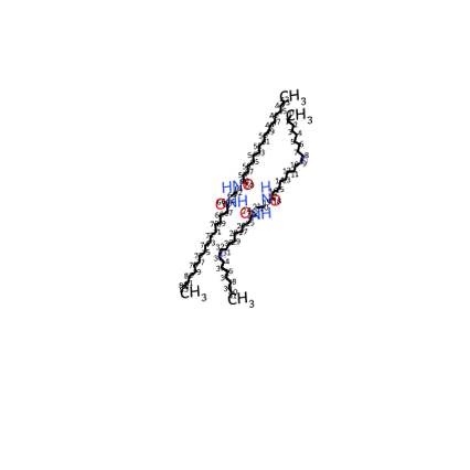 CCCCCCCC/C=C\CCCCCCCC(=O)NCCNC(=O)CCCCCCC/C=C\CCCCCCCC.CCCCCCCCCCCCCCCCCC(=O)NCCNC(=O)CCCCCCCCCCCCCCCCC